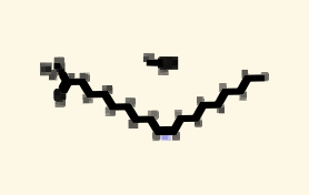 CCCCCCCC/C=C\CCCCCCCC(N)=O.CO